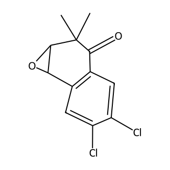 CC1(C)C(=O)c2cc(Cl)c(Cl)cc2C2OC21